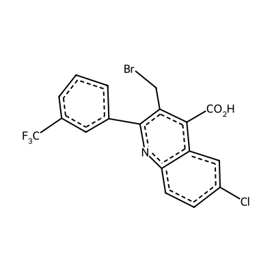 O=C(O)c1c(CBr)c(-c2cccc(C(F)(F)F)c2)nc2ccc(Cl)cc12